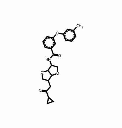 Cc1cccc(Oc2cccc(C(=O)NC3COC4C(CC(=O)C5CC5)COC34)c2)c1